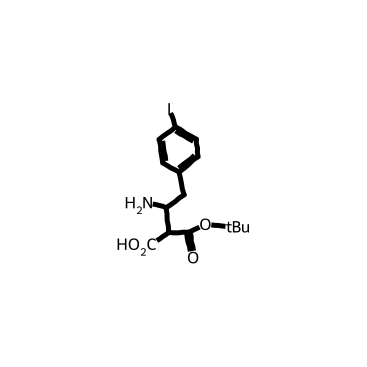 CC(C)(C)OC(=O)C(C(=O)O)C(N)Cc1ccc(I)cc1